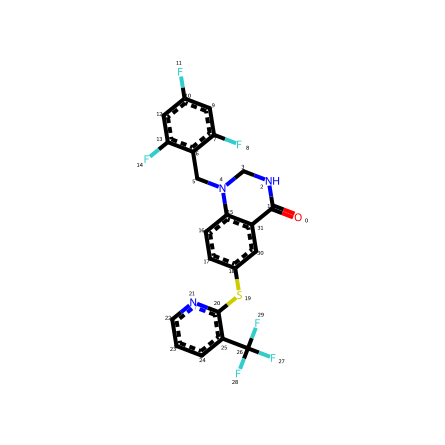 O=C1NCN(Cc2c(F)cc(F)cc2F)c2ccc(Sc3ncccc3C(F)(F)F)cc21